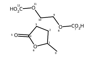 CC1CCC(=O)O1.O=C(O)OCCOC(=O)O